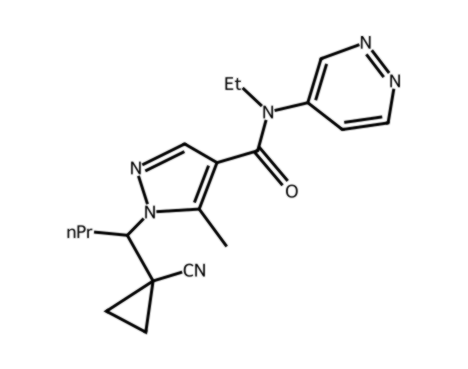 CCCC(n1ncc(C(=O)N(CC)c2ccnnc2)c1C)C1(C#N)CC1